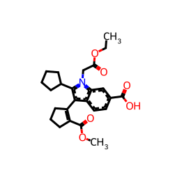 CCOC(=O)Cn1c(C2CCCC2)c(C2=C(C(=O)OC)CCC2)c2ccc(C(=O)O)cc21